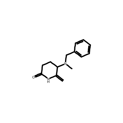 C=C1NC(=O)CCC1N(C)Cc1ccccc1